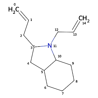 C=CC[C]1CC2CCCCC2N1CC=C